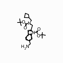 CC(C)(C)OC(=O)N(Cc1cc2ccc(CN)cc2n1C(=O)OC(C)(C)C)CC1CCC1